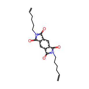 C=CCCCCn1c(=O)c2cc3c(=O)n(CCCCC=C)c(=O)c3cc2c1=O